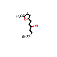 CCOC(=O)CCC(O)CCC1CCC(C)O1